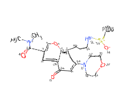 CN(C)C(=O)c1coc2c(CCN[S+]([O-])C(C)(C)C)c(N3CCOCC3)cc(=O)c-2c1